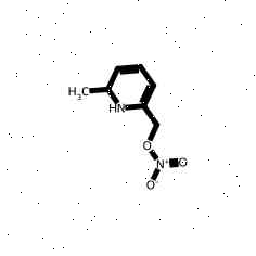 C[C]1C=CC=C(CO[N+](=O)[O-])N1